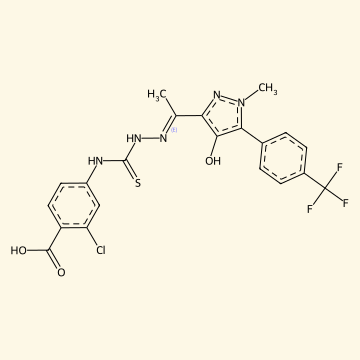 C/C(=N\NC(=S)Nc1ccc(C(=O)O)c(Cl)c1)c1nn(C)c(-c2ccc(C(F)(F)F)cc2)c1O